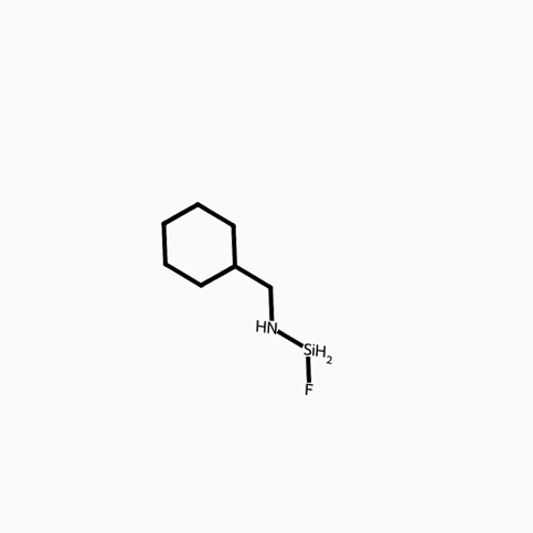 F[SiH2]NCC1CCCCC1